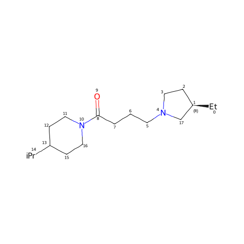 CC[C@@H]1CCN(CCCC(=O)N2CCC(C(C)C)CC2)C1